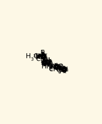 CC(CN1CCN(S(=O)(=O)c2ccccc2)CC1)Nc1ncnc2c(-c3ccc(F)c(CN(C)C)c3)cccc12